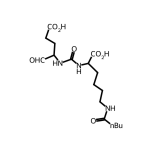 CCCCC(=O)NCCCCC(NC(=O)NC(C=O)CCC(=O)O)C(=O)O